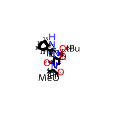 COC(=O)C(CC(C)C)N1CC[C@](Cc2c[nH]c3ccccc23)(NC(=O)OC(C)(C)C)C1=O